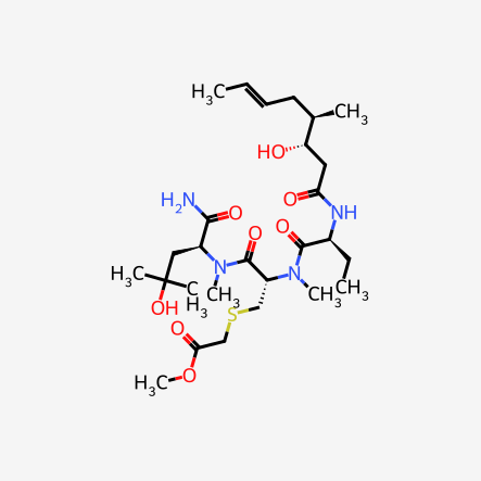 C/C=C/C[C@@H](C)[C@@H](O)CC(=O)N[C@@H](CC)C(=O)N(C)[C@H](CSCC(=O)OC)C(=O)N(C)[C@@H](CC(C)(C)O)C(N)=O